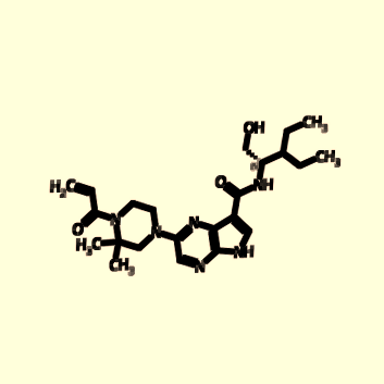 C=CC(=O)N1CCN(c2cnc3[nH]cc(C(=O)N[C@H](CO)C(CC)CC)c3n2)CC1(C)C